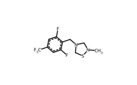 CN1CN(Cc2c(F)cc(C(F)(F)F)cc2F)CS1